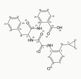 O=C(Nc1cc(Cl)ccc1CC1CC1)C(=O)NC(Cc1ccccc1)C(=O)Nc1ccccc1C(=O)O